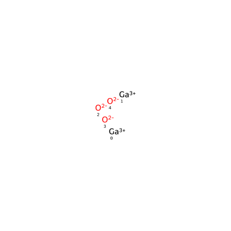 [Ga+3].[Ga+3].[O-2].[O-2].[O-2]